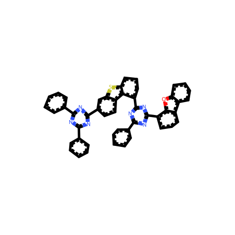 c1ccc(-c2nc(-c3ccccc3)nc(-c3ccc4c(c3)sc3cccc(-c5nc(-c6ccccc6)nc(-c6cccc7c6oc6ccccc67)n5)c34)n2)cc1